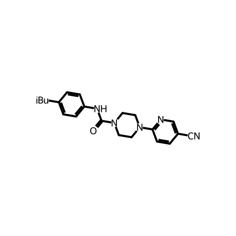 CCC(C)c1ccc(NC(=O)N2CCN(c3ccc(C#N)cn3)CC2)cc1